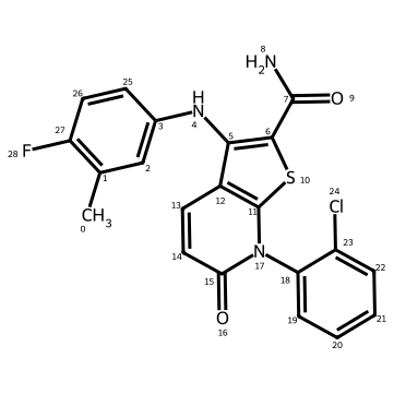 Cc1cc(Nc2c(C(N)=O)sc3c2ccc(=O)n3-c2ccccc2Cl)ccc1F